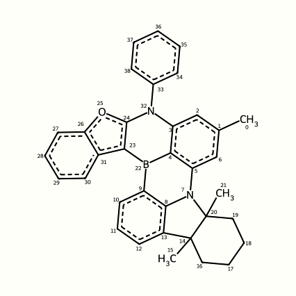 Cc1cc2c3c(c1)N1c4c(cccc4C4(C)CCCCC14C)B3c1c(oc3ccccc13)N2c1ccccc1